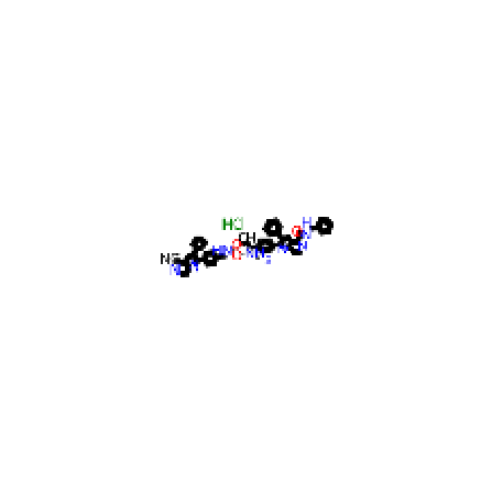 CC(C)(CC(N)c1ccc(-c2nc3ccnc(C(=O)NCc4ccccc4)c3cc2-c2ccccc2)cc1)OC(=O)NCc1ccc(-c2nc3ccnc(C#N)c3cc2-c2ccccc2)cc1.Cl